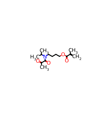 C=C(C)C(=O)OCCCCN(C(=O)C(C)=O)C(C)C